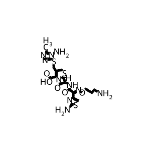 Cc1nnc(SCC2=C(C(=O)O)N3C(=O)C(NC(=O)C(=NOCCCN)c4csc(N)n4)[C@@H]3SC2)n1N